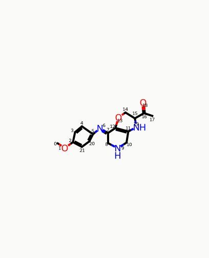 COc1ccc(/N=C2\CNCC3=C2OCC(C(C)=O)N3)cc1